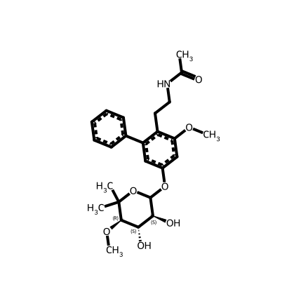 COc1cc(OC2OC(C)(C)[C@H](OC)[C@@H](O)[C@@H]2O)cc(-c2ccccc2)c1CCNC(C)=O